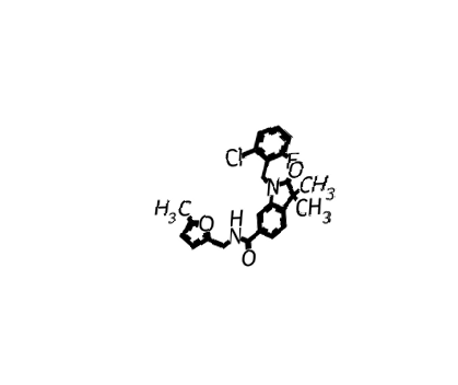 Cc1ccc(CNC(=O)c2ccc3c(c2)N(Cc2c(F)cccc2Cl)C(=O)C3(C)C)o1